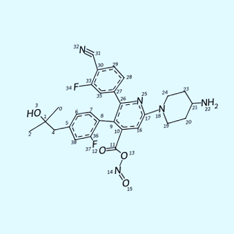 CC(C)(O)Cc1ccc(-c2c(C(=O)ON=O)cc(N3CCC(N)CC3)nc2-c2ccc(C#N)c(F)c2)c(F)c1